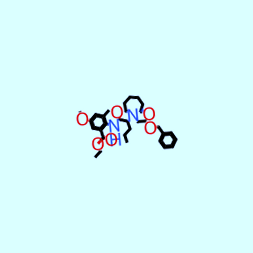 CCCC(C(=O)Nc1c(C)cc(OC)cc1C(=O)OCC)[N+]1(CC(=O)OCc2ccccc2)CCCCCC1